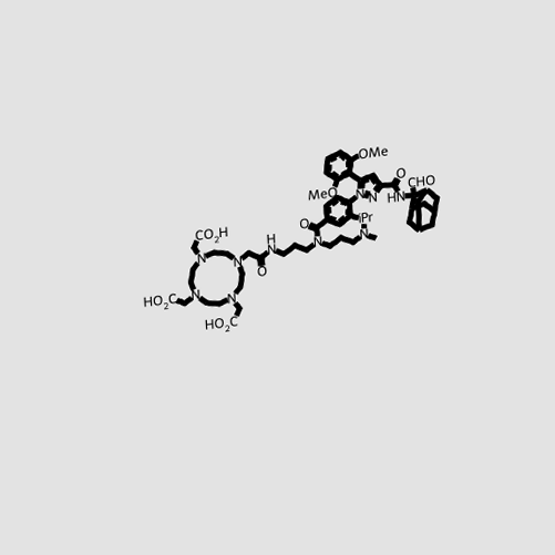 COc1cccc(OC)c1-c1cc(C(=O)NC2(C=O)C3CC4CC(C3)CC2C4)nn1-c1ccc(C(=O)N(CCCNC(=O)CN2CCN(CC(=O)O)CCN(CC(=O)O)CCN(CC(=O)O)CC2)CCCN(C)C)cc1C(C)C